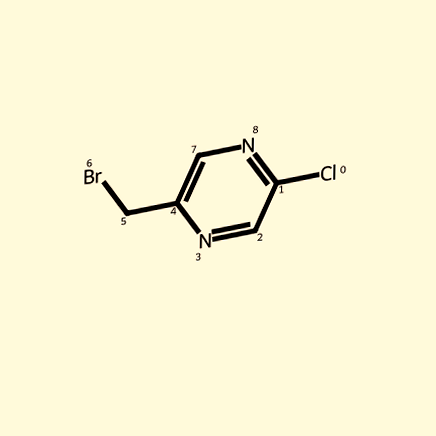 Clc1cnc(CBr)cn1